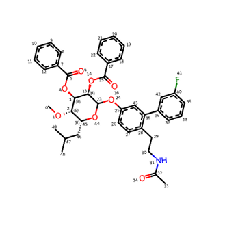 CO[C@@H]1[C@@H](OC(=O)c2ccccc2)[C@@H](OC(=O)c2ccccc2)C(Oc2ccc(CCNC(C)=O)c(-c3cccc(F)c3)c2)O[C@@H]1CC(C)C